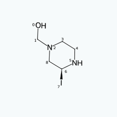 OCN1CCN[C@@H](I)C1